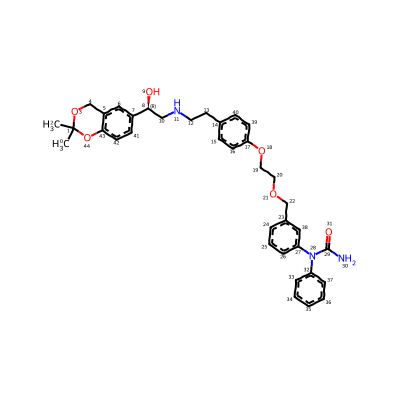 CC1(C)OCc2cc([C@@H](O)CNCCc3ccc(OCCOCc4cccc(N(C(N)=O)c5ccccc5)c4)cc3)ccc2O1